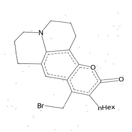 CCCCCCc1c(CBr)c2cc3c4c(c2oc1=O)CCCN4CCC3